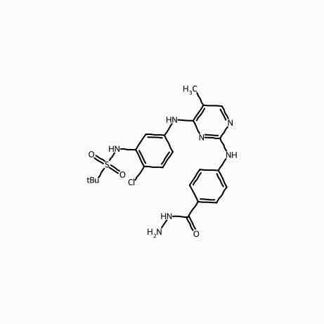 Cc1cnc(Nc2ccc(C(=O)NN)cc2)nc1Nc1ccc(Cl)c(NS(=O)(=O)C(C)(C)C)c1